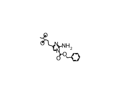 CS(=O)(=O)CCc1cn(C(=O)OCc2ccccc2)c(N)n1